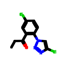 C[CH]C(=O)c1cc(Cl)ccc1-n1cc(Cl)nn1